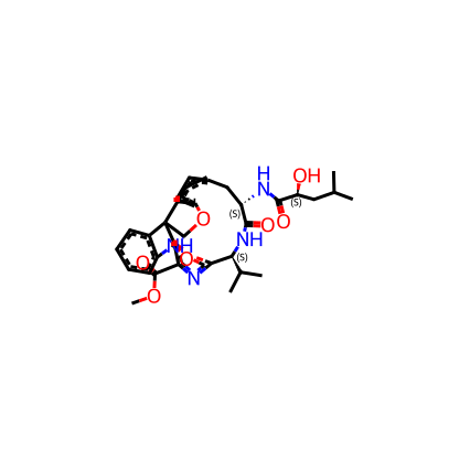 COC(=O)c1nc2oc1C13c4ccccc4NC1Oc1ccc(cc13)C[C@H](NC(=O)[C@@H](O)CC(C)C)C(=O)N[C@H]2C(C)C